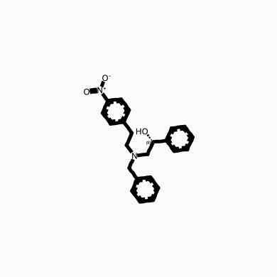 O=[N+]([O-])c1ccc(CCN(Cc2ccccc2)C[C@H](O)c2ccccc2)cc1